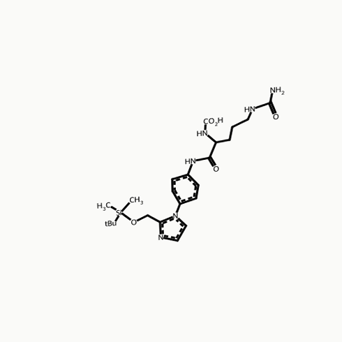 CC(C)(C)[Si](C)(C)OCc1nccn1-c1ccc(NC(=O)C(CCCNC(N)=O)NC(=O)O)cc1